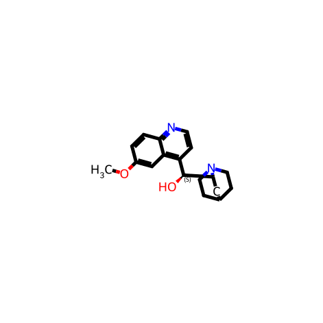 COc1ccc2nccc([C@H](O)C3CC4CCN3CC4)c2c1